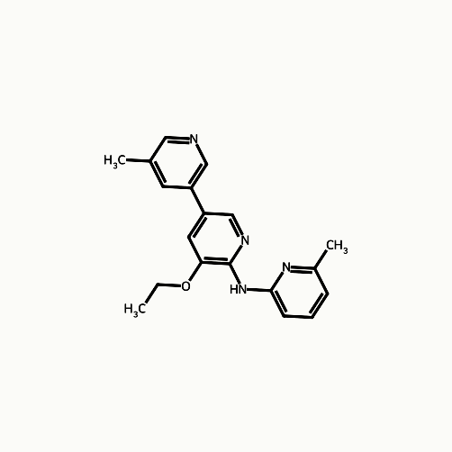 CCOc1cc(-c2cncc(C)c2)cnc1Nc1cccc(C)n1